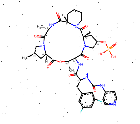 C[C@@H]1C[C@H]2C(=O)O[C@@H](C)[C@H](NC(=O)[C@H](Cc3cc(F)cc(F)c3)NC(=O)Nc3ccncc3)C(=O)N3C[C@H](OP(=O)(O)O)C[C@H]3C(=O)N3CCCC[C@H]3C(=O)N[C@@H](C)C(=O)N2C1